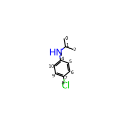 CC(C)Nc1ccc(Cl)cc1